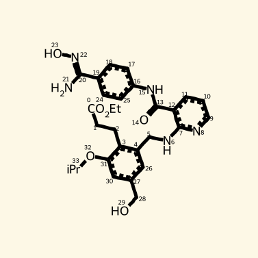 CCOC(=O)CCc1c(CNc2ncccc2C(=O)Nc2ccc(/C(N)=N/O)cc2)cc(CO)cc1OC(C)C